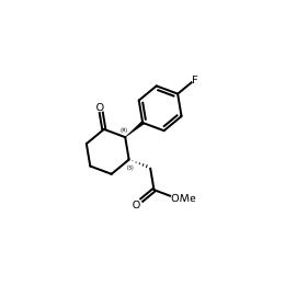 COC(=O)C[C@@H]1CCCC(=O)[C@H]1c1ccc(F)cc1